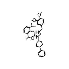 COc1ccc(CCCN(C(=O)Nc2c(C(C)C)cccc2C(C)C)[C@H]2CC[C@H](c3ccccc3)CC2)cc1OC